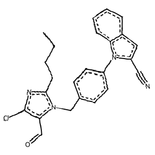 CCCCc1nc(Cl)c(C=O)n1Cc1ccc(-n2c(C#N)cc3ccccc32)cc1